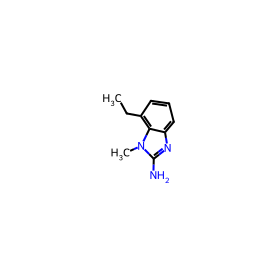 CCc1cccc2nc(N)n(C)c12